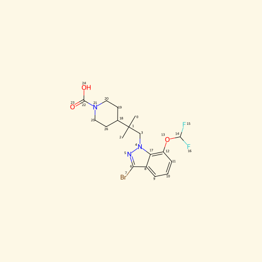 CC(C)(Cn1nc(Br)c2cccc(OC(F)F)c21)C1CCN(C(=O)O)CC1